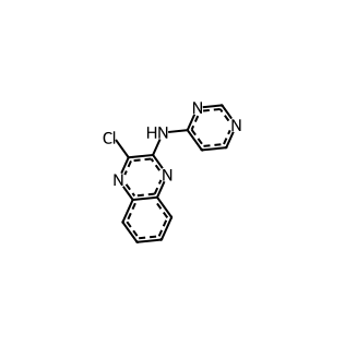 Clc1nc2ccccc2nc1Nc1ccncn1